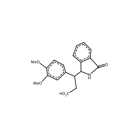 COc1ccc(C(CC(=O)O)C2NC(=O)c3ccccc32)cc1OC